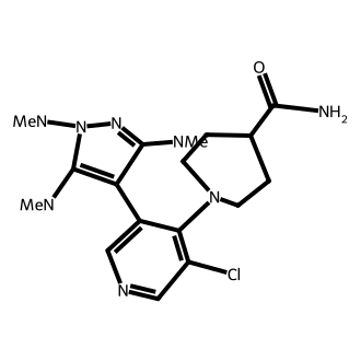 CNc1nn(NC)c(NC)c1-c1cncc(Cl)c1N1CCC(C(N)=O)CC1